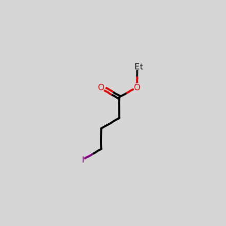 CCOC(=O)CCCI